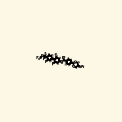 CCCC1COC(c2ccc(C(=O)Oc3cc(F)c(-c4ccc(C(F)(F)OC(F)(F)F)c(F)c4)c(F)c3)cc2)OC1